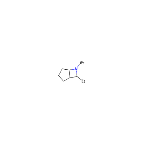 CCC1C2CCCC2N1C(C)C